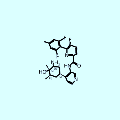 Cc1cc(F)c(-c2nc(C(=O)Nc3cnccc3[C@H]3C[C@@H](C)[C@](C)(O)[C@@H](N)C3)ccc2F)c(F)c1